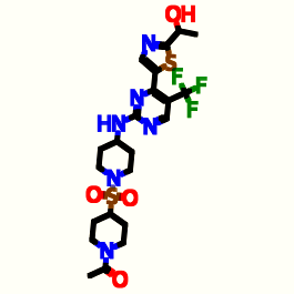 CC(=O)N1CCC(S(=O)(=O)N2CCC(Nc3ncc(C(F)(F)F)c(-c4cnc(C(C)O)s4)n3)CC2)CC1